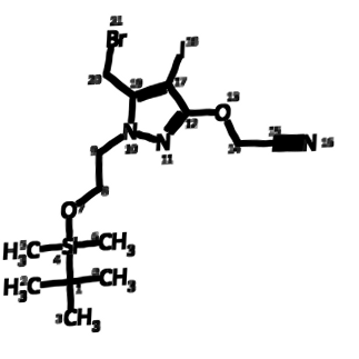 CC(C)(C)[Si](C)(C)OCCn1nc(OCC#N)c(I)c1CBr